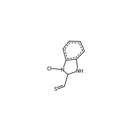 S=CC1Nc2ccccc2N1Cl